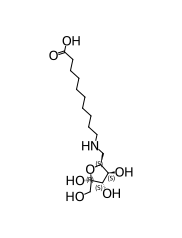 O=C(O)CCCCCCCCCNC[C@@H]1O[C@](O)(CO)[C@@H](O)[C@@H]1O